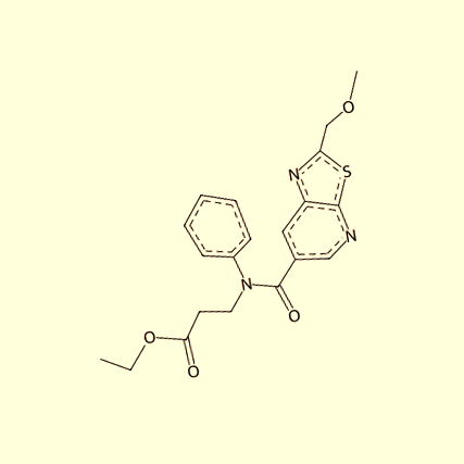 CCOC(=O)CCN(C(=O)c1cnc2sc(COC)nc2c1)c1ccccc1